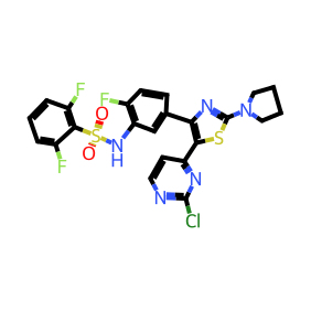 O=S(=O)(Nc1cc(-c2nc(N3CCCC3)sc2-c2ccnc(Cl)n2)ccc1F)c1c(F)cccc1F